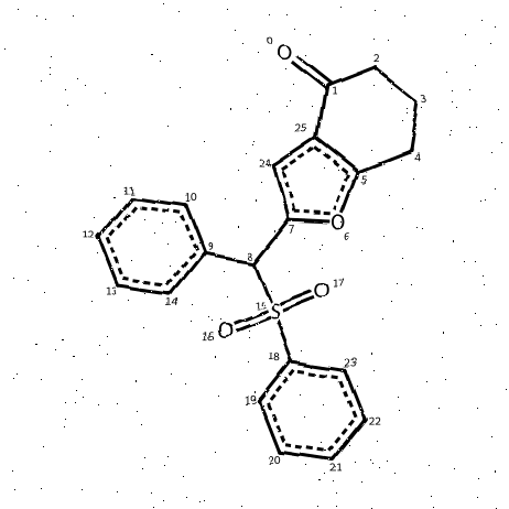 O=C1CCCc2oc(C(c3ccccc3)S(=O)(=O)c3ccccc3)cc21